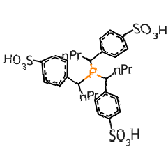 CCCC(c1ccc(S(=O)(=O)O)cc1)P(C(CCC)c1ccc(S(=O)(=O)O)cc1)C(CCC)c1ccc(S(=O)(=O)O)cc1